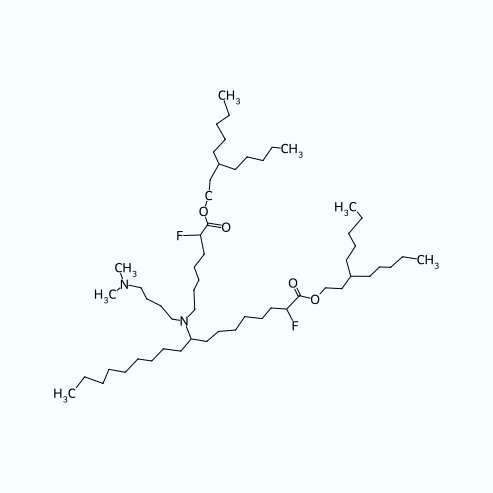 CCCCCCCCCC(CCCCCCC(F)C(=O)OCCC(CCCCC)CCCCC)N(CCCCCC(F)C(=O)OCCC(CCCCC)CCCCC)CCCCN(C)C